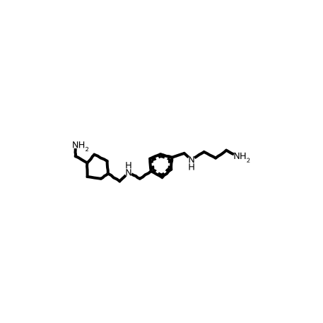 NCCCNCc1ccc(CNCC2CCC(CN)CC2)cc1